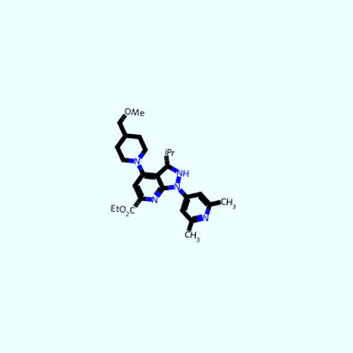 CCOC(=O)c1cc(N2CCC(COC)CC2)c2c(n1)N(c1cc(C)nc(C)c1)NC2C(C)C